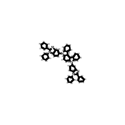 c1ccc(-c2nc3cc(-n4c5ccccc5c5c6c7ccccc7n(-c7ccc8c(c7)nc(-c7ccccc7)n8-c7ccccc7)c6ccc54)ccc3n2-c2ccccc2)cc1